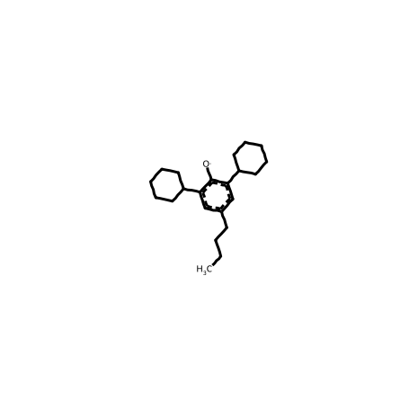 CCCCc1cc(C2CCCCC2)c([O])c(C2CCCCC2)c1